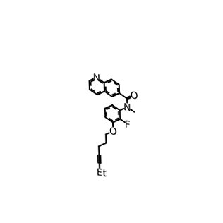 CCC#CCCCOc1cccc(N(C)C(=O)c2ccc3ncccc3c2)c1F